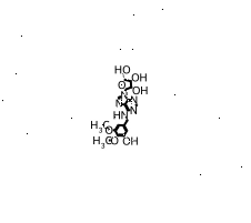 COc1cc(CNc2ncnc3c2ncn3C2O[C@H](CO)[C@@H](O)[C@H]2O)cc(O)c1OC